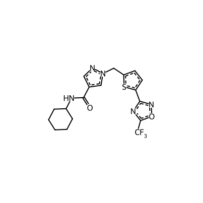 O=C(NC1CCCCC1)c1cnn(Cc2ccc(-c3noc(C(F)(F)F)n3)s2)c1